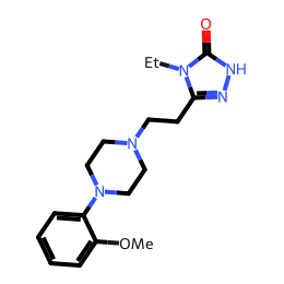 CCn1c(CCN2CCN(c3ccccc3OC)CC2)n[nH]c1=O